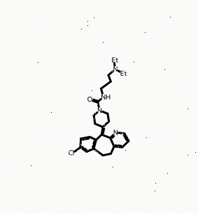 CCN(CC)CCCNC(=O)N1CCC(=C2c3ccc(Cl)cc3CCc3cccnc32)CC1